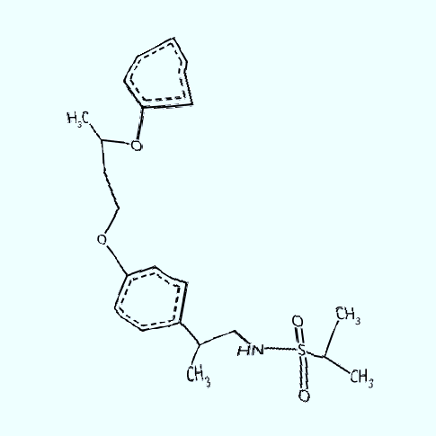 CC(CCOc1ccc(C(C)CNS(=O)(=O)C(C)C)cc1)Oc1ccccc1